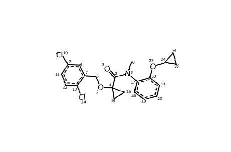 CN(C(=O)C1(OCc2cc(Cl)ccc2Cl)CC1)c1ccccc1OC1CC1